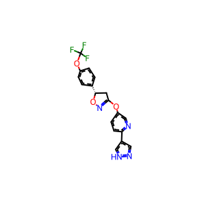 FC(F)(F)Oc1ccc([C@@H]2CC(Oc3ccc(-c4cn[nH]c4)nc3)=NO2)cc1